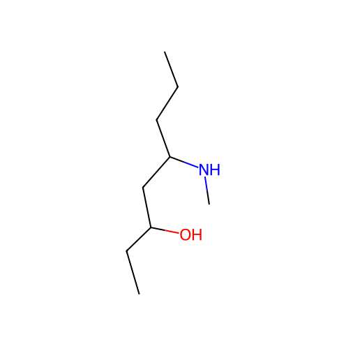 CCCC(CC(O)CC)NC